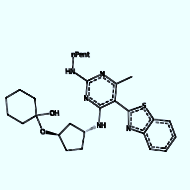 CCCCCNc1nc(C)c(-c2nc3ccccc3s2)c(N[C@@H]2CC[C@@H](OC3(O)CCCCC3)C2)n1